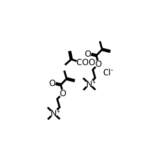 C=C(C)C(=O)OCC[N+](C)(C)C.C=C(C)C(=O)OCC[N+](C)(C)C.C=C(C)C(=O)[O-].[Cl-]